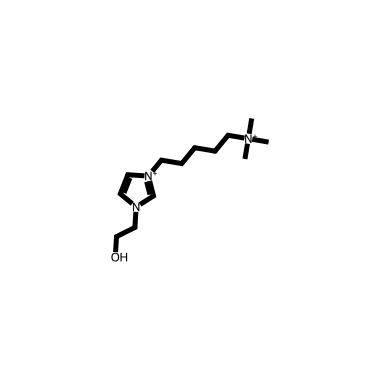 C[N+](C)(C)CCCCC[n+]1ccn(CCO)c1